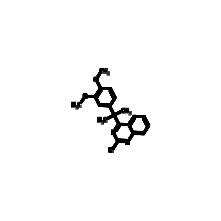 COc1ccc(C(C)(C)c2nc(Cl)nc3ccccc23)cc1OC